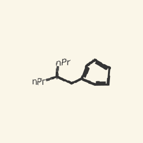 CCC[C](CCC)Cc1ccccc1